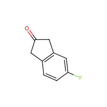 O=C1Cc2ccc(F)cc2C1